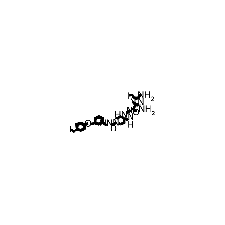 Nc1nc(N)c(C(=O)/N=C2\NCC3(CCN(C(=O)NCc4cccc(COc5ccc(CI)cc5)c4)CC3)N2)nc1CI